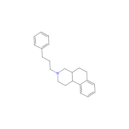 c1ccc(CCCN2CCC3c4ccccc4CCC3C2)cc1